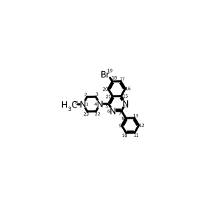 CN1CCN(c2nc(-c3ccccc3)nc3ccc(Br)cc23)CC1